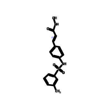 Cc1cccc(S(=O)(=O)Nc2ccc(/C=C/C(=O)NO)cc2)c1